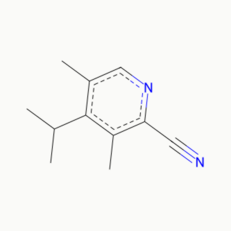 Cc1cnc(C#N)c(C)c1C(C)C